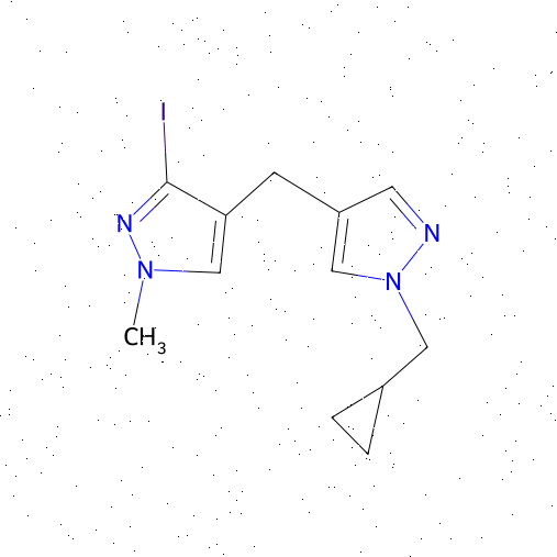 Cn1cc(Cc2cnn(CC3CC3)c2)c(I)n1